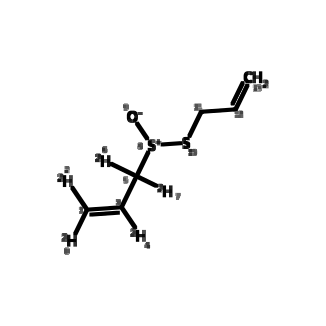 [2H]C([2H])=C([2H])C([2H])([2H])[S+]([O-])SCC=C